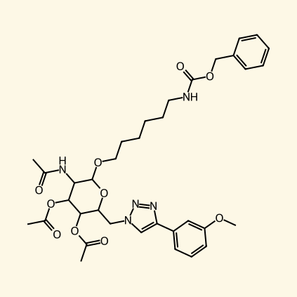 COc1cccc(-c2cn(CC3OC(OCCCCCCNC(=O)OCc4ccccc4)C(NC(C)=O)C(OC(C)=O)C3OC(C)=O)nn2)c1